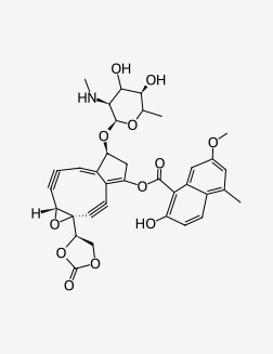 CN[C@H]1C(O)[C@@H](O)C(C)O[C@H]1O[C@H]1CC(OC(=O)c2c(O)ccc3c(C)cc(OC)cc23)=C2C#C[C@]3([C@H]4COC(=O)O4)O[C@@H]3C#C/C=C\21